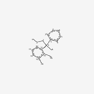 CCCC(C)(c1ccccc1)c1cccc(C)c1C